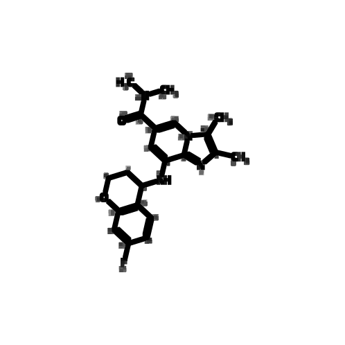 Cc1nc2c(NC3CCOc4cc(F)ccc43)cc(C(=O)N(C)C)cn2c1C